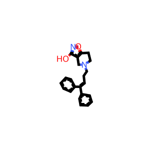 Oc1noc2c1CN(CCC=C(c1ccccc1)c1ccccc1)CC2